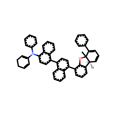 CC12Oc3c(-c4ccc(-c5ccc(N(C6=CCCC=C6)c6ccccc6)c6ccccc56)c5ccccc45)cccc3[C@@H]1C=CC=C2c1ccccc1